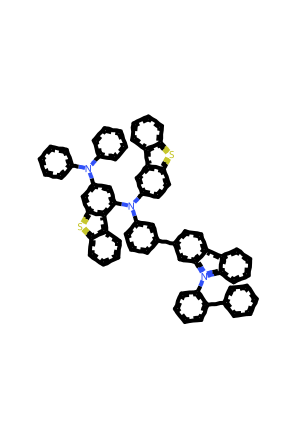 c1ccc(-c2ccccc2-n2c3ccccc3c3ccc(-c4cccc(N(c5ccc6sc7ccccc7c6c5)c5cc(N(c6ccccc6)c6ccccc6)cc6sc7ccccc7c56)c4)cc32)cc1